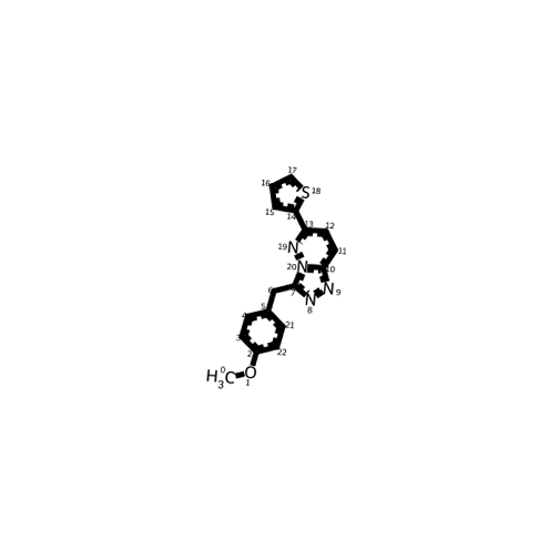 COc1ccc(Cc2nnc3ccc(-c4cccs4)nn23)cc1